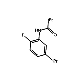 CC(C)C(=O)Nc1cc(C(C)C)ccc1F